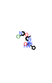 Cc1nc(-n2nc(C3CCCC3)[nH]c2=O)ccc1Oc1ccnc(Cl)c1